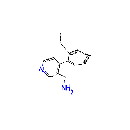 CCc1ccccc1-c1ccncc1CN